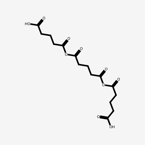 O=C(O)CCCC(=O)OC(=O)CCCC(=O)OC(=O)CCCC(=O)O